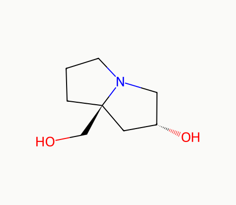 OC[C@@]12CCCN1C[C@H](O)C2